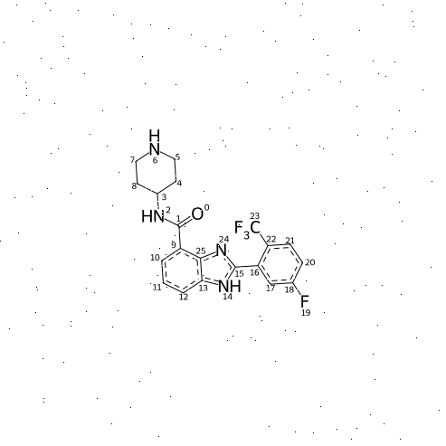 O=C(NC1CCNCC1)c1cccc2[nH]c(-c3cc(F)ccc3C(F)(F)F)nc12